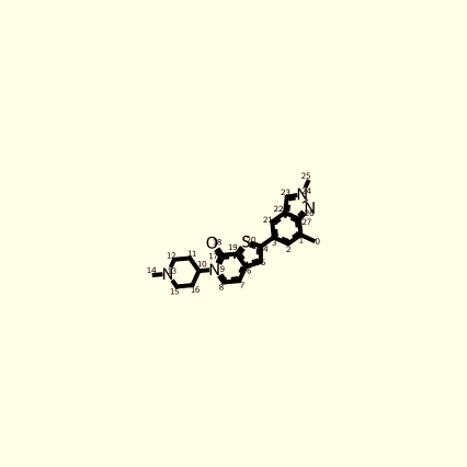 Cc1cc(-c2cc3ccn(C4CCN(C)CC4)c(=O)c3s2)cc2cn(C)nc12